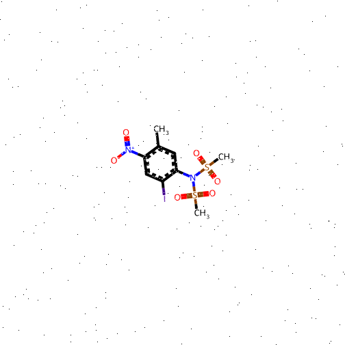 Cc1cc(N(S(C)(=O)=O)S(C)(=O)=O)c(I)cc1[N+](=O)[O-]